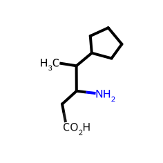 CC(C(N)CC(=O)O)C1CCCC1